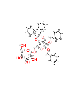 OC[C@@H]1O[C@@H](OC[C@H]2O[C@@H](OCc3ccccc3)[C@H](OCc3ccccc3)[C@@H](OCc3ccccc3)[C@H]2OCc2ccccc2)[C@H](O)[C@@H](O)[C@@H]1O